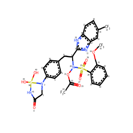 O=C1CN(c2ccc(CC(c3nc4cc(C(F)(F)F)ccc4[nH]3)N(OC(=O)C(F)(F)F)S(=O)(=O)c3ccccc3OC(F)(F)F)cc2)S(O)(O)N1